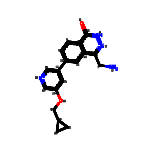 NCc1n[nH]c(=O)c2ccc(-c3cncc(OCC4CC4)c3)cc12